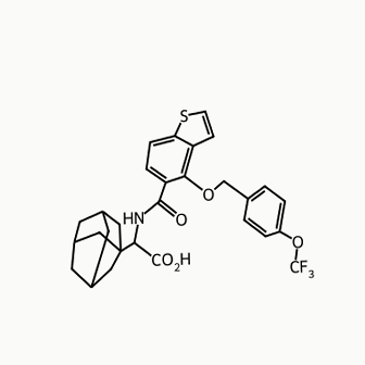 O=C(NC(C(=O)O)C12CC3CC(CC(C3)C1)C2)c1ccc2sccc2c1OCc1ccc(OC(F)(F)F)cc1